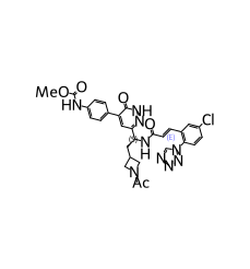 COC(=O)Nc1ccc(-c2cc([C@H](CC3CN(C(C)=O)C3)NC(=O)/C=C/c3cc(Cl)ccc3-n3cnnn3)n[nH]c2=O)cc1